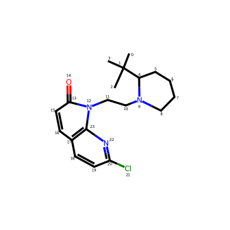 CC(C)(C)C1C[CH]CCN1CCn1c(=O)ccc2ccc(Cl)nc21